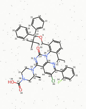 CC(C)c1cccc(CO[Si](c2ccccc2)(c2ccccc2)C(C)(C)C)c1-n1c(=O)nc(N2CCN(C(=O)O)C[C@@H]2C)c2cc(Cl)c(-c3ccccc3F)nc21